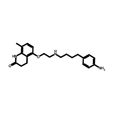 Cc1ccc(OCCNCCCCc2ccc(N)cc2)c2c1NC(=O)CC2